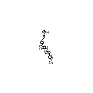 N#CCOc1ccc(-c2cnc3c(Nc4ccc(C(=O)N5CCN(CCN6CC(c7nnn[nH]7)C6)CC5)c(Cl)c4)nccn23)c(F)c1F